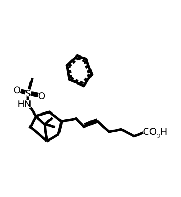 CC1(C)C2CC(CC=CCCCC(=O)O)CC1(NS(C)(=O)=O)C2.c1ccccc1